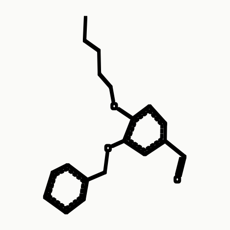 CCCCCOc1ccc(C=O)cc1OCc1ccccc1